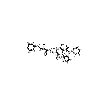 CC1=C(C(=O)Nc2ccccc2)C(c2cccs2)C(C#N)=C(SCC(=O)NCCc2ccccc2)N1